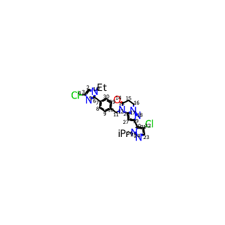 CCn1cc(Cl)nc1-c1ccc(CN2C(=O)CCn3nc(-c4c(Cl)cnn4C(C)C)cc32)cc1